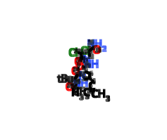 CC(C)=C=C[C@@H]1C[C@@H](C(=O)NN(CCC(N)=O)C(=O)C(Cl)Cl)N(C(=O)[C@@H](NC(=O)C(F)(F)F)C(C)(C)C)C1